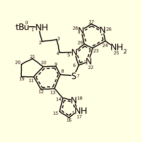 CC(C)(C)NCCCn1c(Sc2cc3c(cc2-c2cc[nH]n2)CCC3)nc2c(N)ncnc21